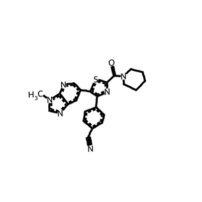 Cn1cnc2cc(-c3sc(C(=O)N4CCCCC4)nc3-c3ccc(C#N)cc3)cnc21